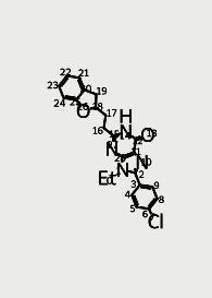 CCn1c(-c2ccc(Cl)cc2)nc2c(=O)[nH]c(CCC3Cc4ccccc4O3)nc21